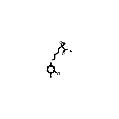 COC(=O)C1(CCCCOc2ccc(C)c(Cl)c2)CO1